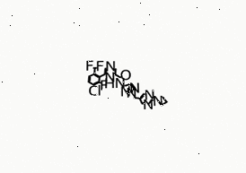 O=C(Nc1cnn(Cc2cnc(N3CCC3)nc2)n1)c1cncc(-c2c(C(F)F)ccc(Cl)c2F)n1